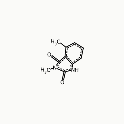 Cc1cccc2[nH]c(=O)n(C)c(=O)c12